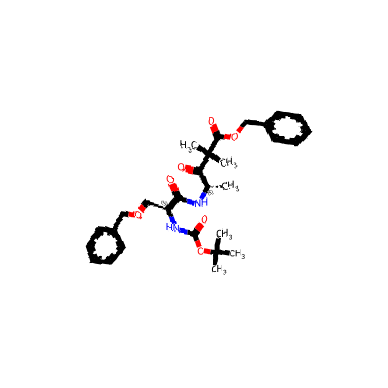 C[C@H](NC(=O)[C@H](COCc1ccccc1)NC(=O)OC(C)(C)C)C(=O)C(C)(C)C(=O)OCc1ccccc1